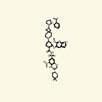 COc1nc2[nH]ccc2cc1Oc1cc(N2CCC3(CC2)CC(N2CCC[C@@H]2c2ccccc2C(C)C)C3)ccc1C(=O)NS(=O)(=O)c1cc2c(c([N+](=O)[O-])c1)N[C@@H](C1CCC(C)(C)CC1)CO2